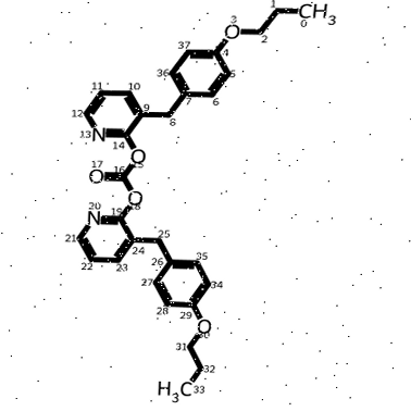 CCCOc1ccc(Cc2cccnc2OC(=O)Oc2ncccc2Cc2ccc(OCCC)cc2)cc1